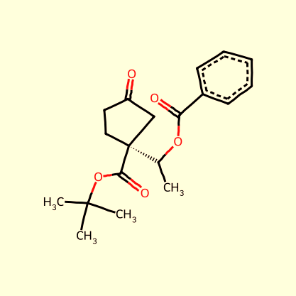 CC(OC(=O)c1ccccc1)[C@]1(C(=O)OC(C)(C)C)CCC(=O)C1